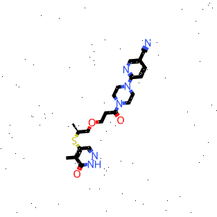 Cc1c(S[C@@H](C)COCCC(=O)N2CCN(c3ccc(C#N)cn3)CC2)cn[nH]c1=O